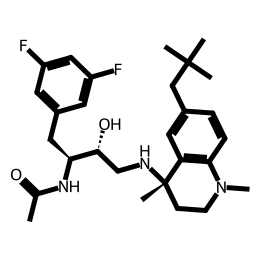 CC(=O)N[C@@H](Cc1cc(F)cc(F)c1)[C@H](O)CN[C@@]1(C)CCN(C)c2ccc(CC(C)(C)C)cc21